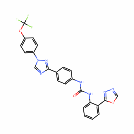 O=C(Nc1ccc(-c2ncn(-c3ccc(OC(F)(F)F)cc3)n2)cc1)Nc1ccccc1-c1nnco1